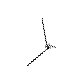 [CH2]CCCc1nc(CCCCCCCCCCCCCCCCCC)nc(CCCCCCCCCCCCCCCCCC)n1